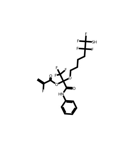 C=C(F)C(=O)OC(OCCCCC(F)(F)C(F)(F)S)(C(=O)Nc1ccccc1)C(F)(F)F